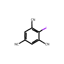 N#Cc1cc(C#N)c(I)c(C#N)c1